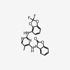 Cc1cnc(Nc2cccc3c2OC(F)(F)O3)nc1Nn1c(=O)oc2ccccc21